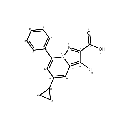 O=C(O)c1nn2c(-c3ccccc3)cc(C3CC3)cc2c1Cl